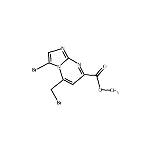 COC(=O)c1cc(CBr)n2c(Br)cnc2n1